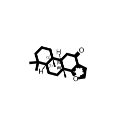 CC1(C)CCC[C@]2(C)[C@H]3CC(=O)c4ccoc4[C@]3(C)CC[C@@H]12